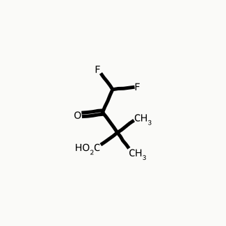 CC(C)(C(=O)O)C(=O)C(F)F